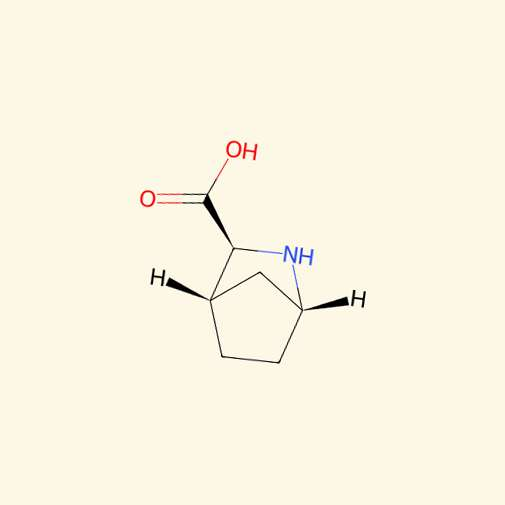 O=C(O)[C@H]1N[C@@H]2CC[C@H]1C2